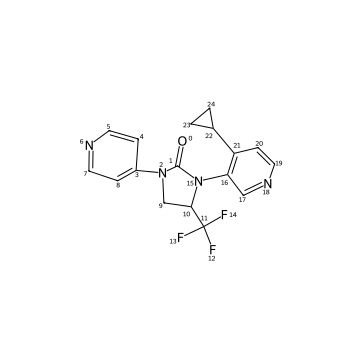 O=C1N(c2ccncc2)CC(C(F)(F)F)N1c1cnccc1C1CC1